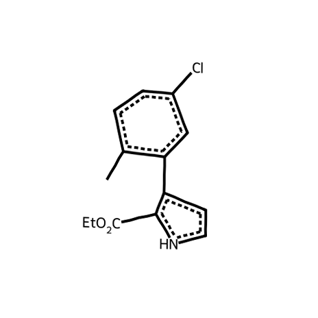 CCOC(=O)c1[nH]ccc1-c1cc(Cl)ccc1C